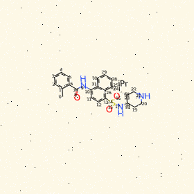 Cc1ccccc1C(=O)Nc1ccc(S(=O)(=O)N[C@H]2CCNC[C@H]2CC(C)C)c2ccccc12